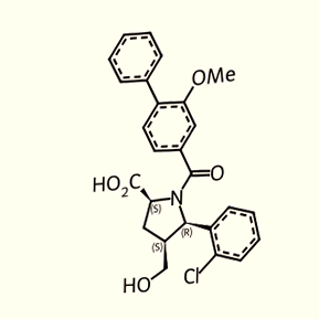 COc1cc(C(=O)N2[C@H](C(=O)O)C[C@H](CO)[C@@H]2c2ccccc2Cl)ccc1-c1ccccc1